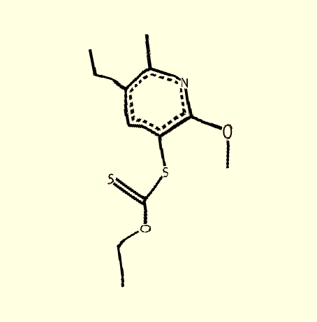 CCOC(=S)Sc1cc(CC)c(C)nc1OC